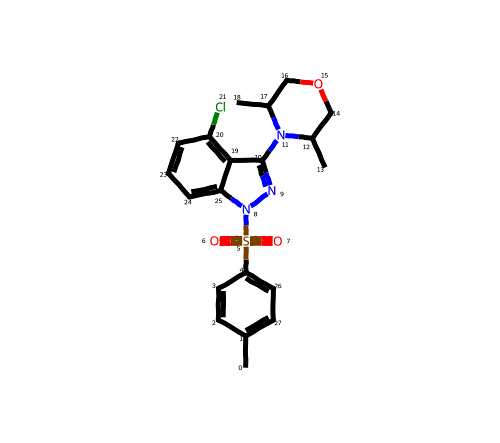 Cc1ccc(S(=O)(=O)n2nc(N3C(C)COCC3C)c3c(Cl)cccc32)cc1